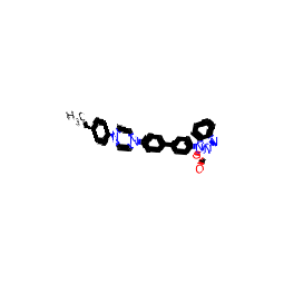 CC[C@H]1CC[C@@H](N2CCN(c3ccc(-c4ccc([N+]5(OC=O)N=Nc6ccccc65)cc4)cc3)CC2)CC1